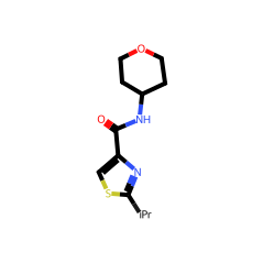 CC(C)c1nc(C(=O)NC2CCOCC2)cs1